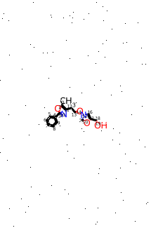 Cc1oc(-c2ccccc2)nc1CCON1C=C(CO)OC1